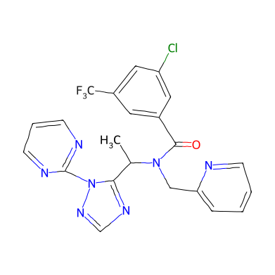 CC(c1ncnn1-c1ncccn1)N(Cc1ccccn1)C(=O)c1cc(Cl)cc(C(F)(F)F)c1